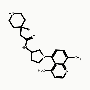 Cc1ccc(N2CCC(NC(=O)CC3(F)CCNCC3)C2)c2c(C)ccnc12